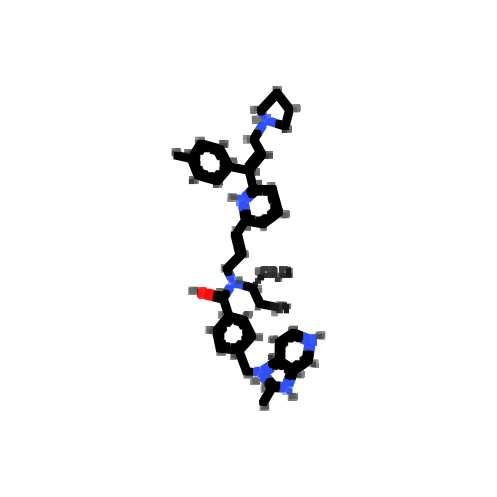 CCOC(=O)[C@H](CC(C)C)N(C/C=C/c1cccc(/C(=C/CN2CCCC2)c2ccc(C)cc2)n1)C(=O)c1ccc(Cn2c(C)nc3cnccc32)cc1